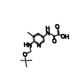 Cc1cc(NC(=O)C(=O)O)cnc1NCOC(C)(C)C